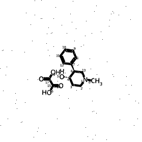 CN1CC[C@H](O)[C@@H](c2ccccc2)C1.O=C(O)C(=O)O